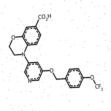 O=C(O)c1ccc2c(c1)OCCN2c1cncc(OCc2ccc(OC(F)(F)F)cc2)c1